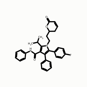 CC(C)c1c(C(=O)Nc2ccccc2)c(-c2ccccc2)c(-c2ccc(F)cc2)n1CCC1CC=CC(=O)O1